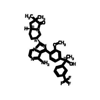 COc1cc([C@@](C)(O)c2cccc(C(F)(F)F)c2)ccc1-c1nc([C@@H]2CC[C@H]3CC(C)(C)C(=O)N3C2)n2ccnc(N)c12